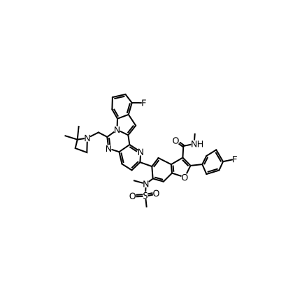 CNC(=O)c1c(-c2ccc(F)cc2)oc2cc(N(C)S(C)(=O)=O)c(-c3ccc4nc(CN5CCC5(C)C)n5c6cccc(F)c6cc5c4n3)cc12